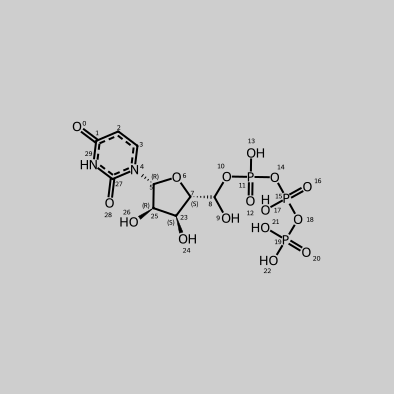 O=c1ccn([C@@H]2O[C@H](C(O)OP(=O)(O)OP(=O)(O)OP(=O)(O)O)[C@@H](O)[C@H]2O)c(=O)[nH]1